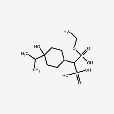 CCOP(=O)(O)C(N1CCC(O)(C(C)C)CC1)P(=O)(O)O